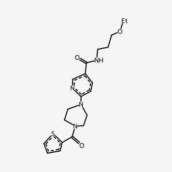 CCOCCCNC(=O)c1ccc(N2CCN(C(=O)c3cccs3)CC2)nc1